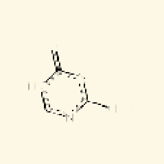 O=[C]c1nc[nH]c(=O)n1